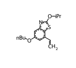 C=Cc1cc(OCCCC)cc2nc(OC(C)C)sc12